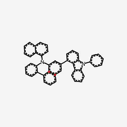 c1ccc(-c2ccccc2N(c2cccc(-c3cccc4c3c3ccccc3n4-c3ccccc3)c2)c2cccc3ccccc23)cc1